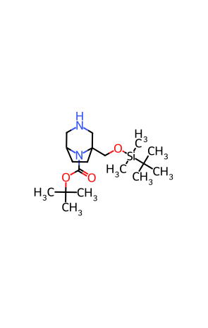 CC(C)(C)OC(=O)N1C2CCC1(CO[Si](C)(C)C(C)(C)C)CNC2